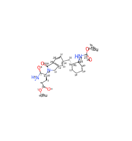 CC(C)(C)OC(=O)CC[C@@H](C(N)=O)N1Cc2cc(C[C@H]3CCCC[C@@H]3NC(=O)OC(C)(C)C)ccc2C1=O